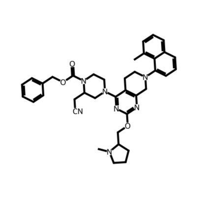 Cc1cccc2cccc(N3CCc4c(nc(OCC5CCCN5C)nc4N4CCN(C(=O)OCc5ccccc5)C(CC#N)C4)C3)c12